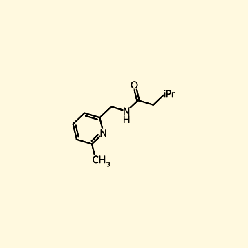 Cc1cccc(CNC(=O)CC(C)C)n1